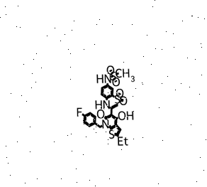 CCc1cc2c(O)c(C3=CS(=O)(=O)c4cc(NS(C)(=O)=O)ccc4N3)c(=O)n(Cc3ccc(F)cc3)c2s1